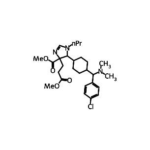 CCCN1C=NC(CCC(=O)OC)(C(=O)OC)C1C1CCC(C(c2ccc(Cl)cc2)N(C)C)CC1